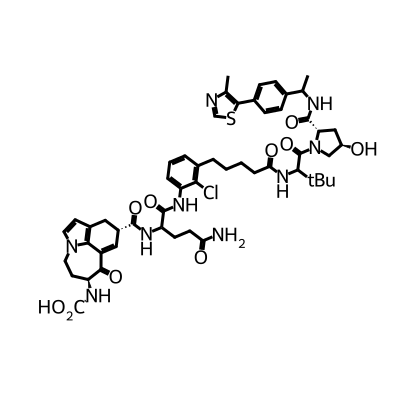 Cc1ncsc1-c1ccc(C(C)NC(=O)[C@@H]2C[C@@H](O)CN2C(=O)C(NC(=O)CCCCc2cccc(NC(=O)C(CCC(N)=O)NC(=O)[C@@H]3C=C4C(=O)[C@@H](NC(=O)O)CCn5ccc(c54)C3)c2Cl)C(C)(C)C)cc1